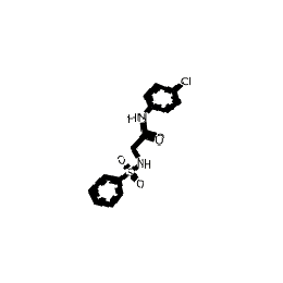 O=C(CNS(=O)(=O)c1ccccc1)Nc1ccc(Cl)cc1